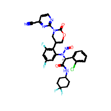 N#Cc1ccnc(N2CC(c3c(F)cc(F)cc3N(N=O)[C@H](C(=O)NC3CCC(F)(F)CC3)c3ccccc3Cl)COC2=O)n1